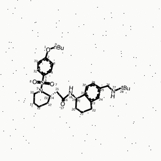 CCCCOc1ccc(S(=O)(=O)N2CCCC[C@H]2CC(=O)N[C@@H]2CCCc3cc(CNC(C)(C)C)ccc32)cc1